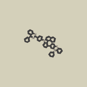 C1=CC(c2nc(-c3ccc(-n4c5cccc(-c6ccc7c(c6)N(c6ccccc6)c6ccccc6S7)c5c5c6ccccc6ccc54)cc3)nc3ccccc23)=CCC1